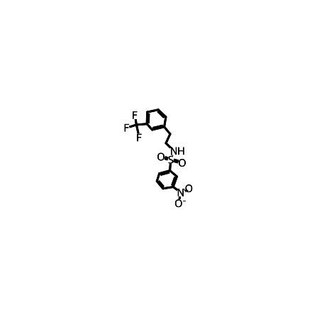 O=[N+]([O-])c1cccc(S(=O)(=O)NCCc2cccc(C(F)(F)F)c2)c1